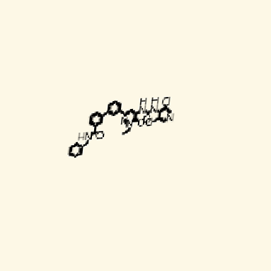 CCn1nc(-c2cccc(-c3cccc(C(=O)NCc4ccccc4)c3)c2)cc(NC(=O)Nc2c(Cl)cncc2Cl)c1=O